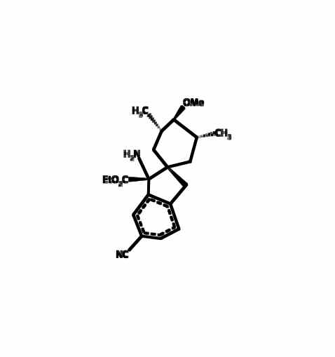 CCOC(=O)[C@]1(N)c2cc(C#N)ccc2C[C@@]12C[C@@H](C)[C@H](OC)[C@@H](C)C2